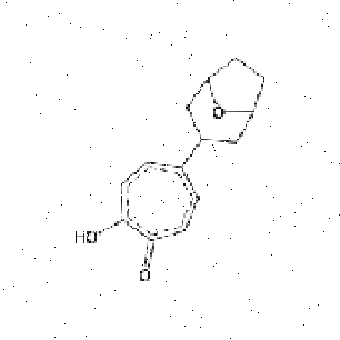 O=c1ccc(C2CC3CCC(C2)O3)ccc1O